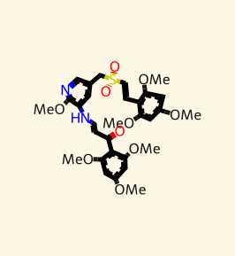 COc1cc(OC)c(C=CS(=O)(=O)Cc2cnc(OC)c(NC=CC(=O)c3c(OC)cc(OC)cc3OC)c2)c(OC)c1